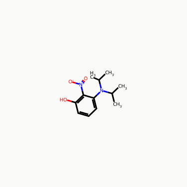 CC(C)N(c1cccc(O)c1[N+](=O)[O-])C(C)C